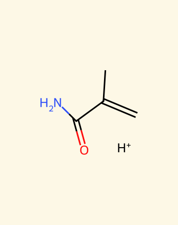 C=C(C)C(N)=O.[H+]